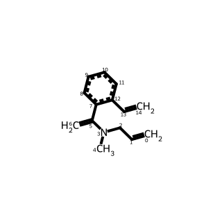 C=CCN(C)C(=C)c1ccccc1C=C